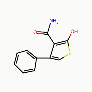 NC(=O)c1c(-c2ccccc2)csc1O